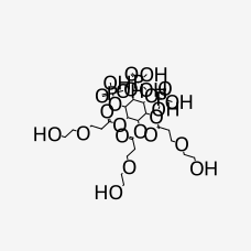 O=C(CCOCCO)OC1C(OC(=O)CCOCCO)C(OP(=O)(O)O)C(OP(=O)(O)O)C(OP(=O)(O)O)C1OC(=O)CCOCCO